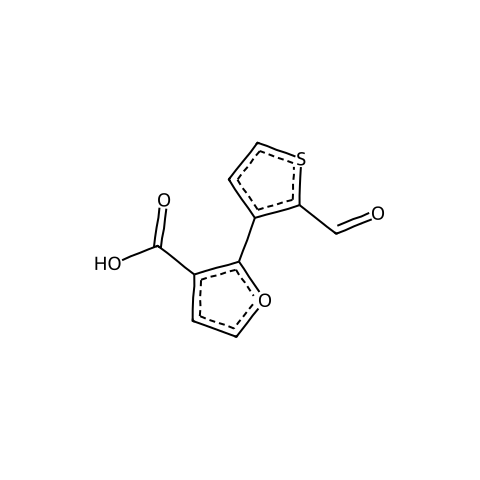 O=Cc1sccc1-c1occc1C(=O)O